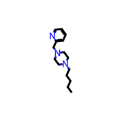 CCCCCN1CCN(Cc2ccccn2)CC1